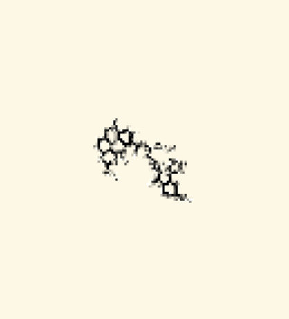 CN(Cc1cnc2nc(N)nc(N)c2n1)c1ccc(C(=O)N[C@@H](CCCNC(=O)c2ccc(C(C)(C)C)cc2-c2nn[nH]n2)C(=O)O)cc1